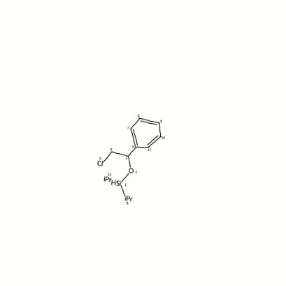 CC(C)[SiH](OC(CCl)c1ccccc1)C(C)C